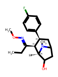 CCC(=NOC)[C@H]1[C@@H](c2ccc(F)cc2)CC2CC(O)[C@@H]1N2C